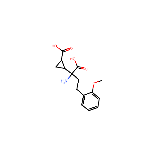 COc1ccccc1CCC(N)(C(=O)O)C1CC1C(=O)O